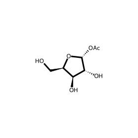 CC(=O)O[C@H]1O[C@H](CO)[C@H](O)[C@H]1O